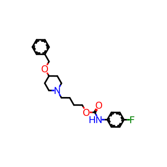 O=C(Nc1ccc(F)cc1)OCCCCN1CCC(OCc2ccccc2)CC1